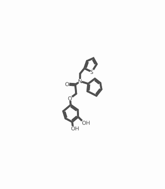 O=C(COc1ccc(O)c(O)c1)N(Cc1cccs1)c1ccccc1